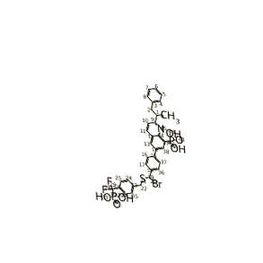 CC(Cc1ccccc1)c1ccc2cc(-c3ccc(C(Br)SCc4ccc(C(F)(F)P(=O)(O)O)cc4)cc3)cc(P(=O)(O)O)c2n1